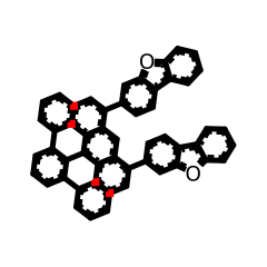 c1ccc(-c2cccc(-c3ccccc3)c2-c2c3cccc(-c4ccc5c(c4)oc4ccccc45)c3cc3c(-c4ccc5c(c4)oc4ccccc45)cccc23)cc1